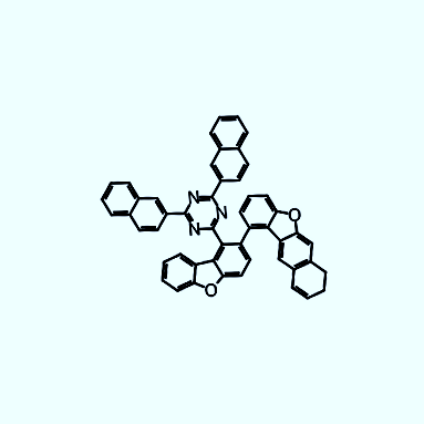 C1=Cc2cc3c(cc2CC1)oc1cccc(-c2ccc4oc5ccccc5c4c2-c2nc(-c4ccc5ccccc5c4)nc(-c4ccc5ccccc5c4)n2)c13